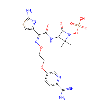 CC1(C)C(NC(=O)C(=NOCCOc2ccc(C(=N)N)nc2)c2csc(N)n2)C(=O)N1OS(=O)(=O)O